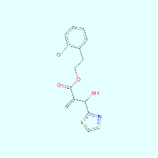 C=C(C(=O)OCCc1ccccc1Cl)C(O)c1nccs1